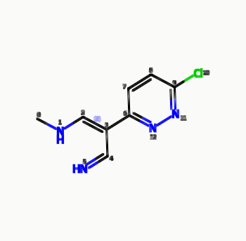 CN/C=C(\C=N)c1ccc(Cl)nn1